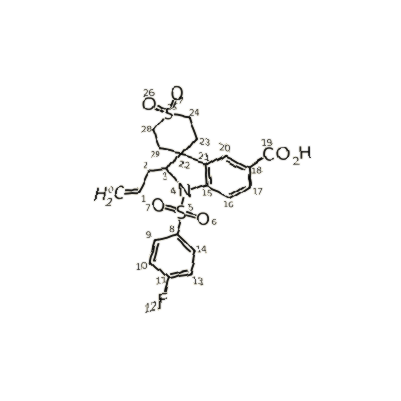 C=CCC1N(S(=O)(=O)c2ccc(F)cc2)c2ccc(C(=O)O)cc2C12CCS(=O)(=O)CC2